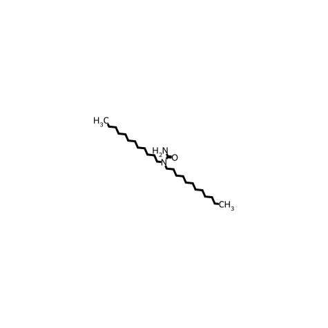 CCCCCCCCCCCCN(CCCCCCCCCCCC)C(N)=O